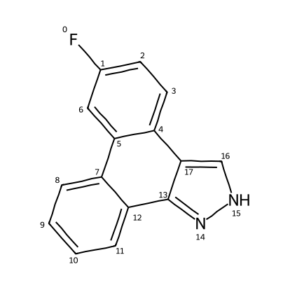 Fc1ccc2c(c1)c1ccccc1c1n[nH]cc21